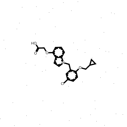 O=C(O)COc1cccc2c1ccn2Cc1cc(Cl)ccc1OCC1CC1